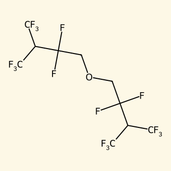 FC(F)(F)C(C(F)(F)F)C(F)(F)COCC(F)(F)C(C(F)(F)F)C(F)(F)F